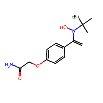 C=C(c1ccc(OCC(N)=O)cc1)N(O)C(C)(C)C(C)(C)C